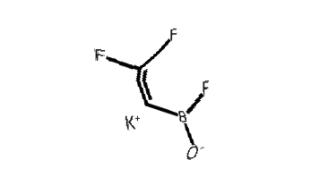 [K+].[O-]B(F)C=C(F)F